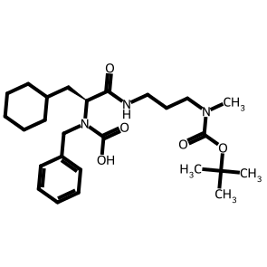 CN(CCCNC(=O)[C@H](CC1CCCCC1)N(Cc1ccccc1)C(=O)O)C(=O)OC(C)(C)C